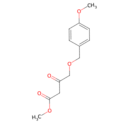 COC(=O)CC(=O)COCc1ccc(OC)cc1